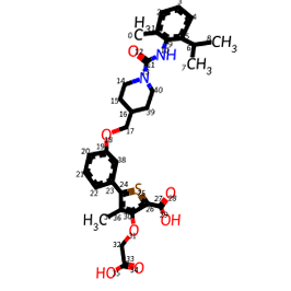 Cc1cccc(C(C)C)c1NC(=O)N1CCC(COc2cccc(-c3sc(C(=O)O)c(OCC(=O)O)c3C)c2)CC1